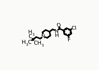 CC(C)(C)CCN1CCC(CNC(=O)c2cc(F)cc(Cl)c2)CC1